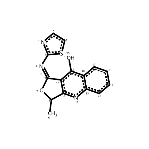 CC1O/C(=N/c2nccs2)c2c1nc1ccccc1c2O